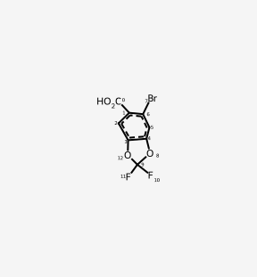 O=C(O)c1cc2c(cc1Br)OC(F)(F)O2